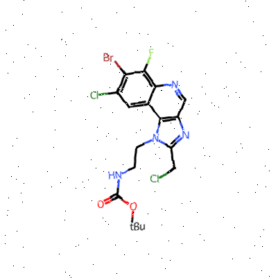 CC(C)(C)OC(=O)NCCn1c(CCl)nc2cnc3c(F)c(Br)c(Cl)cc3c21